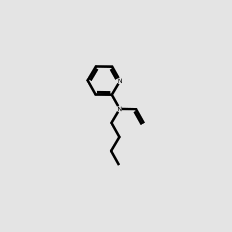 C=CN(CCCC)c1ccccn1